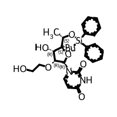 C[C@H](O[Si](c1ccccc1)(c1ccccc1)C(C)(C)C)[C@H]1O[C@@H](n2ccc(=O)[nH]c2=O)[C@H](OCCO)[C@@H]1O